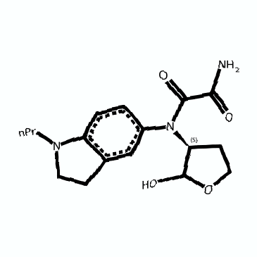 CCCN1CCc2cc(N(C(=O)C(N)=O)[C@H]3CCOC3O)ccc21